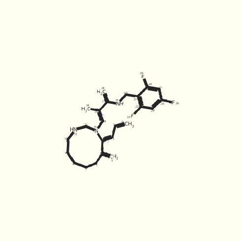 C=C/C=C1/C(=C)CCCCCNCN1/C=C(\C)C(=C)NCc1c(F)cc(F)cc1F